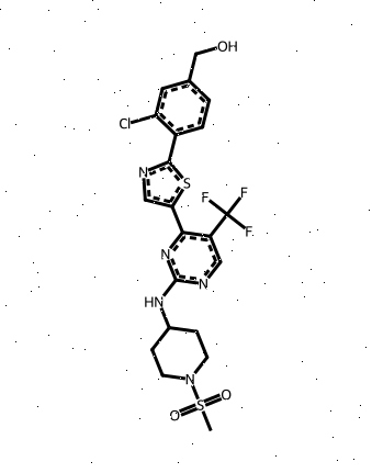 CS(=O)(=O)N1CCC(Nc2ncc(C(F)(F)F)c(-c3cnc(-c4ccc(CO)cc4Cl)s3)n2)CC1